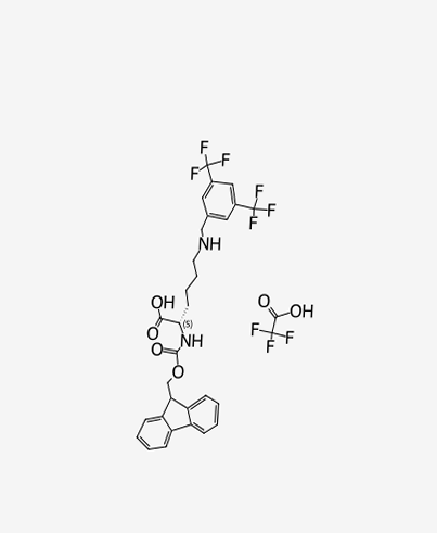 O=C(N[C@@H](CCCCNCc1cc(C(F)(F)F)cc(C(F)(F)F)c1)C(=O)O)OCC1c2ccccc2-c2ccccc21.O=C(O)C(F)(F)F